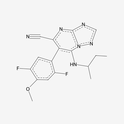 CCC(C)Nc1c(-c2cc(F)c(OC)cc2F)c(C#N)nc2ncnn12